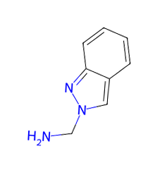 NCn1cc2ccccc2n1